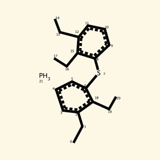 CCc1cccc(Sc2cccc(CC)c2CC)c1CC.P